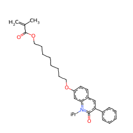 C=C(C)C(=O)OCCCCCCCCOc1ccc2cc(-c3ccccc3)c(=O)n(C(C)C)c2c1